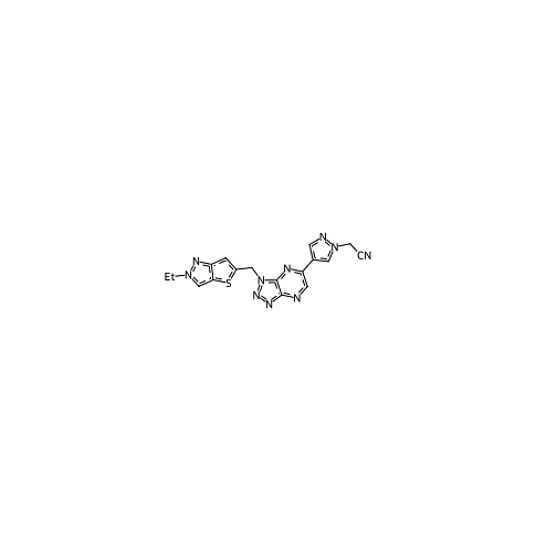 CCn1cc2sc(Cn3nnc4ncc(-c5cnn(CC#N)c5)nc43)cc2n1